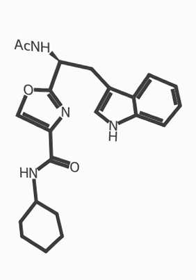 CC(=O)N[C@@H](Cc1c[nH]c2ccccc12)c1nc(C(=O)NC2CCCCC2)co1